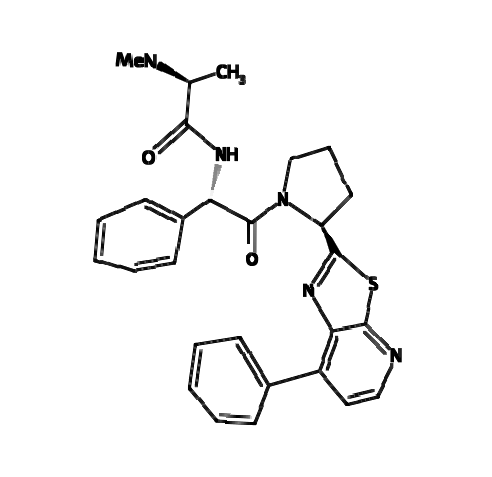 CN[C@@H](C)C(=O)N[C@H](C(=O)N1CCC[C@H]1c1nc2c(-c3ccccc3)ccnc2s1)c1ccccc1